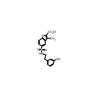 CCOC(=O)c1oc2ccc(S(=O)(=O)NCCc3cccc(O)c3)cc2c1C